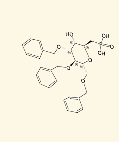 O=P(O)(O)C[C@H]1O[C@H](COCc2ccccc2)[C@@H](OCc2ccccc2)[C@H](OCc2ccccc2)[C@@H]1O